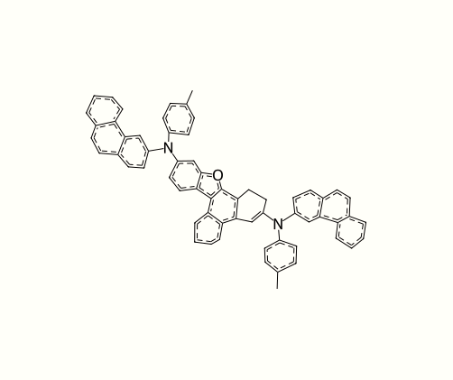 Cc1ccc(N(C2=Cc3c(c4oc5cc(N(c6ccc(C)cc6)c6ccc7ccc8ccccc8c7c6)ccc5c4c4ccccc34)CC2)c2ccc3ccc4ccccc4c3c2)cc1